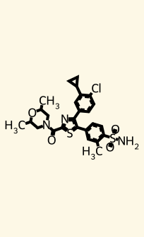 Cc1cc(-c2sc(C(=O)N3CC(C)OC(C)C3)nc2-c2ccc(Cl)c(C3CC3)c2)ccc1S(N)(=O)=O